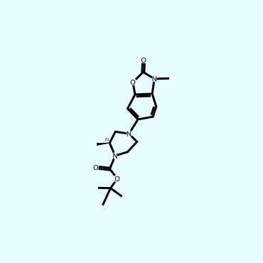 C[C@H]1CN(c2ccc3c(c2)oc(=O)n3C)CCN1C(=O)OC(C)(C)C